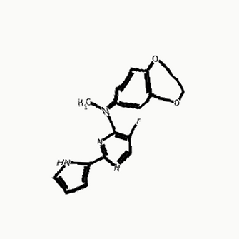 CN(c1ccc2c(c1)OCCO2)c1nc(-c2ccc[nH]2)ncc1F